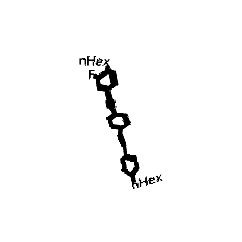 CCCCCCc1ccc(C#Cc2ccc(C#Cc3ccc(CCCCCC)c(F)c3)cc2)cc1